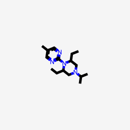 CCC1CN(C(C)C)CC(CC)N1c1ncc(C)cn1